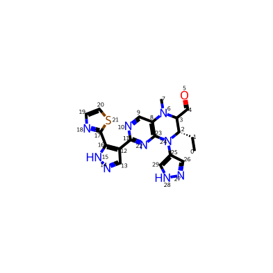 CC[C@H]1C(C=O)N(C)c2cnc(-c3cn[nH]c3-c3nccs3)nc2N1c1cn[nH]c1